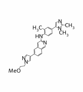 COCCn1cc(-c2ccc3cnc(Nc4ccc(-c5cnc(C)n5C)cc4C)cc3c2)cn1